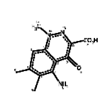 Cc1cc2c(c(N)c1C)c(=O)c(C(=O)O)nn2C(F)(F)F